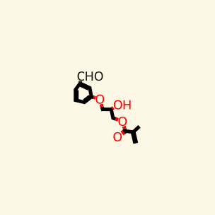 C=C(C)C(=O)OCC(O)COc1cccc(C=O)c1